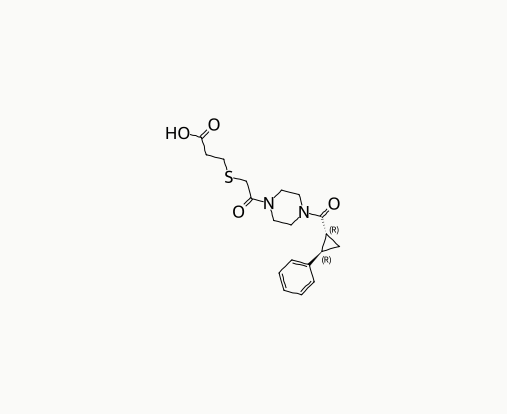 O=C(O)CCSCC(=O)N1CCN(C(=O)[C@@H]2C[C@H]2c2ccccc2)CC1